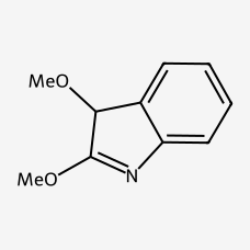 COC1=Nc2ccccc2C1OC